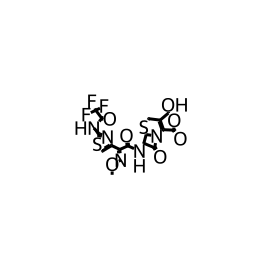 CON=C(C(=O)NC1C(=O)N2C3=C(CSC12)C(O)OC3=O)c1csc(NC(=O)C(F)(F)F)n1